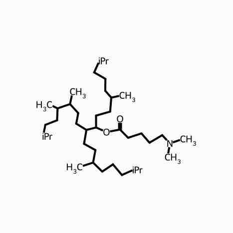 CC(C)CCCC(C)CCC(CCC(C)C(C)CCC(C)C)C(CCC(C)CCCC(C)C)OC(=O)CCCCN(C)C